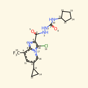 O=C(NNC(=O)c1nc2c(C(F)(F)F)cc(C3CC3)cn2c1Cl)NC1CCCC1